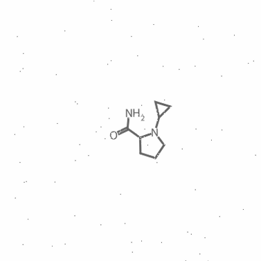 NC(=O)C1CCCN1C1CC1